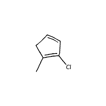 CC1=C(Cl)C=CC1